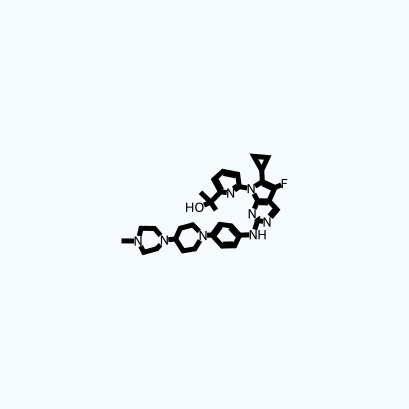 CN1CCN(C2CCN(c3ccc(Nc4ncc5c(F)c(C6CC6)n(-c6cccc(C(C)(C)O)n6)c5n4)cc3)CC2)CC1